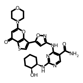 NC(=O)c1cnc(N[C@@H]2CCCC[C@@H]2O)nc1Nc1cc(-c2csc3c(=O)cc(N4CCOCC4)oc23)on1